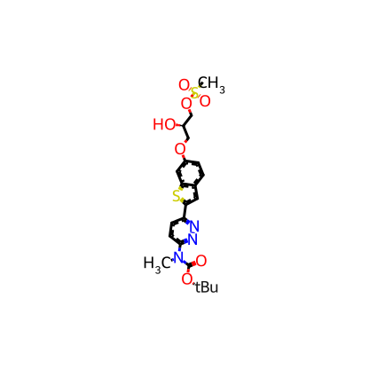 CN(C(=O)OC(C)(C)C)c1ccc(-c2cc3ccc(OC[C@@H](O)COS(C)(=O)=O)cc3s2)nn1